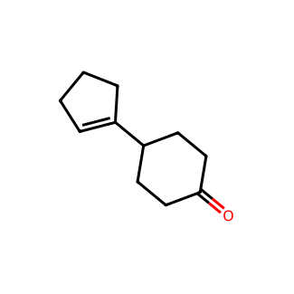 O=C1CCC(C2=CCCC2)CC1